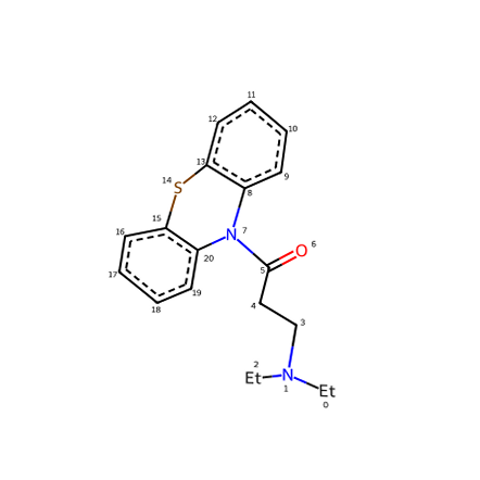 CCN(CC)CCC(=O)N1c2ccccc2Sc2ccccc21